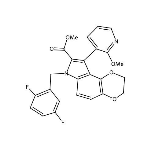 COC(=O)c1c(-c2cccnc2OC)c2c3c(ccc2n1Cc1cc(F)ccc1F)OCCO3